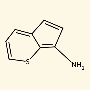 Nc1ccc2cccsc1-2